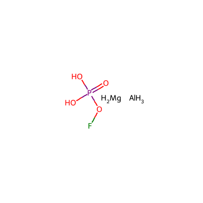 O=P(O)(O)OF.[AlH3].[MgH2]